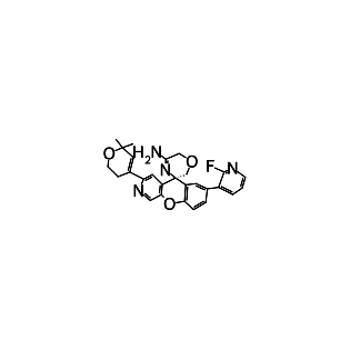 CC1(C)C=C(c2cc3c(cn2)Oc2ccc(-c4cccnc4F)cc2[C@@]32COCC(N)=N2)CCO1